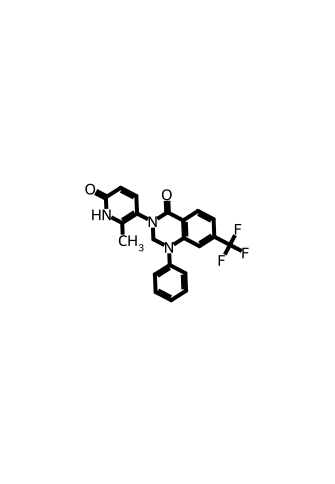 Cc1[nH]c(=O)ccc1N1CN(c2ccccc2)c2cc(C(F)(F)F)ccc2C1=O